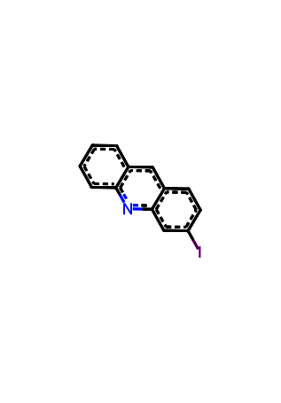 Ic1ccc2cc3ccccc3nc2c1